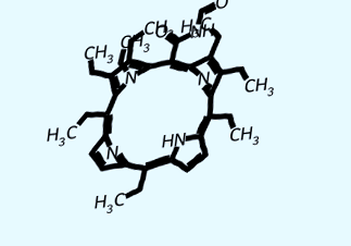 CCC1=C(CC)c2nc1c(CC)c1ccc([nH]1)c(CC)c1nc(c(CC)c3c(CC)c(CC)c(c2C(=O)NC=O)n3CC)C=C1